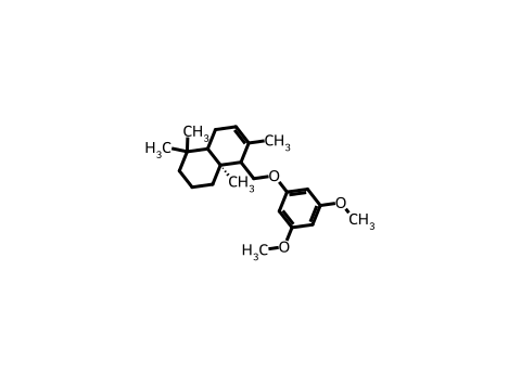 COc1cc(OC)cc(OCC2C(C)=CCC3C(C)(C)CCC[C@]23C)c1